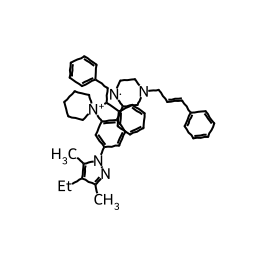 CCc1c(C)nn(-c2ccc(C3CN(CC=Cc4ccccc4)CC[N]3)c([N+]3(C(Cc4ccccc4)c4ccccc4)CCCCC3)c2)c1C